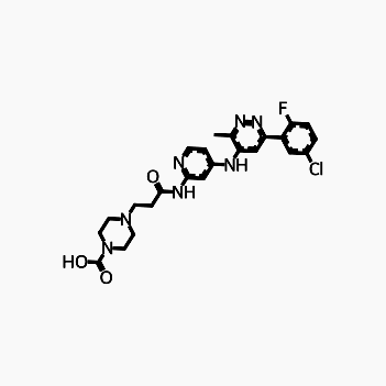 Cc1nnc(-c2cc(Cl)ccc2F)cc1Nc1ccnc(NC(=O)CCN2CCN(C(=O)O)CC2)c1